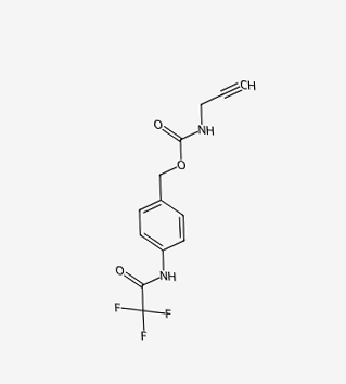 C#CCNC(=O)OCc1ccc(NC(=O)C(F)(F)F)cc1